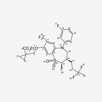 CCOC(=O)C1(COc2cc3c(cc2C(F)(F)F)N(c2cccc(F)c2)C[C@@H](CCC(C)(F)F)[C@@H](F)S3(=O)=O)CC1